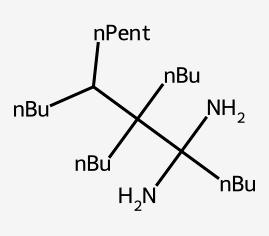 CCCCCC(CCCC)C(CCCC)(CCCC)C(N)(N)CCCC